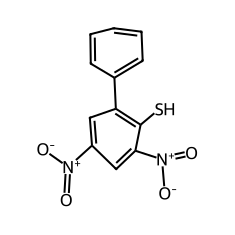 O=[N+]([O-])c1cc(-c2ccccc2)c(S)c([N+](=O)[O-])c1